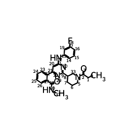 CCC(=O)N1CCCC(c2nc(Nc3cccc(F)c3)cc(-c3ccccc3C(=O)NC)n2)C1